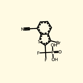 N#Cc1cccc2c(Br)c(C(F)(F)P(=O)(O)O)sc12